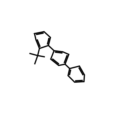 CC(C)(C)c1c[c]ccc1-c1ccc(-c2ccccc2)cc1